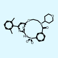 Cc1cccc(C)c1-c1cc2nc(n1)NS(=O)(=O)c1cccc(c1)C(=O)N(C1CCOCC1)CCO2